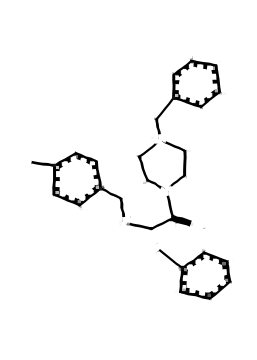 CCc1ccc(CN[C@@H](Cc2ccccc2)C(=O)N2CCN(Cc3ccccc3)CC2)cc1